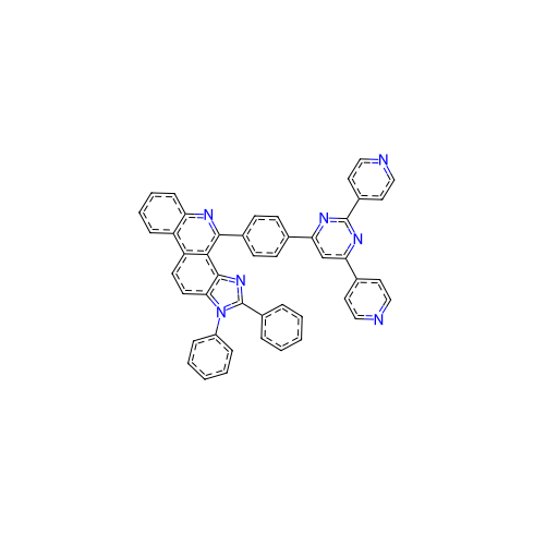 c1ccc(-c2nc3c4c(-c5ccc(-c6cc(-c7ccncc7)nc(-c7ccncc7)n6)cc5)nc5ccccc5c4ccc3n2-c2ccccc2)cc1